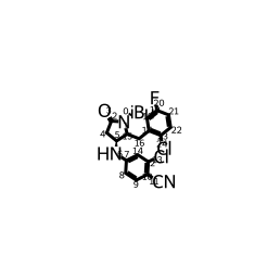 CCC(C)N1C(=O)C[C@H](Nc2ccc(C#N)c(Cl)c2)C1Cc1cc(F)ccc1Cl